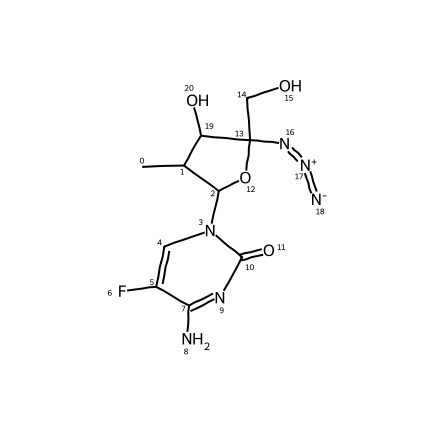 CC1C(n2cc(F)c(N)nc2=O)OC(CO)(N=[N+]=[N-])C1O